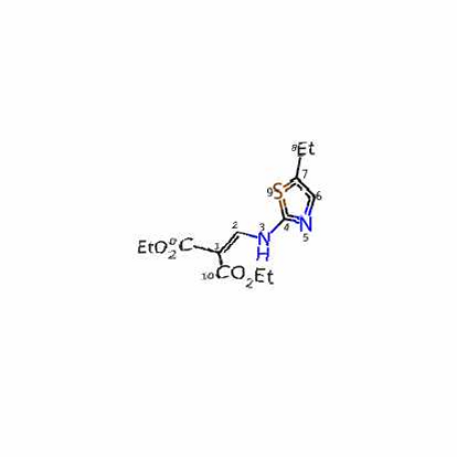 CCOC(=O)C(=CNc1ncc(CC)s1)C(=O)OCC